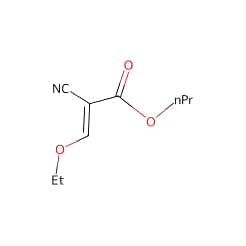 CCCOC(=O)C(C#N)=COCC